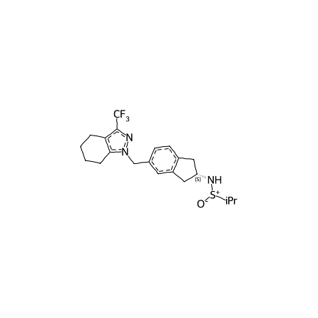 CC(C)[S+]([O-])N[C@H]1Cc2ccc(Cn3nc(C(F)(F)F)c4c3CCCC4)cc2C1